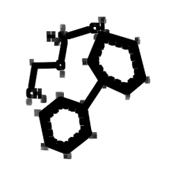 CCO[SiH2]C.c1ccc(-c2ccccc2)cc1